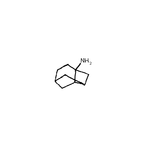 NC12CCC3CC(C1)C2C3